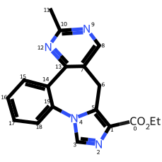 CCOC(=O)c1ncn2c1Cc1cnc(C)nc1-c1ccccc1-2